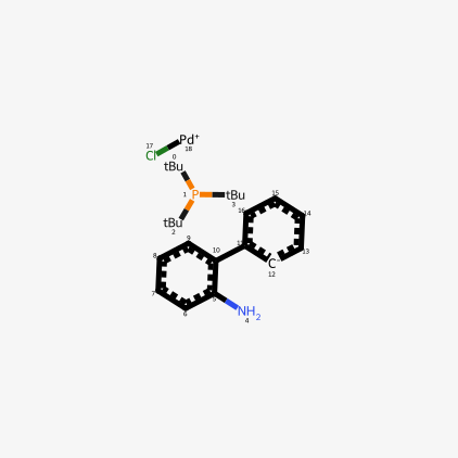 CC(C)(C)P(C(C)(C)C)C(C)(C)C.Nc1ccccc1-c1[c-]cccc1.[Cl][Pd+]